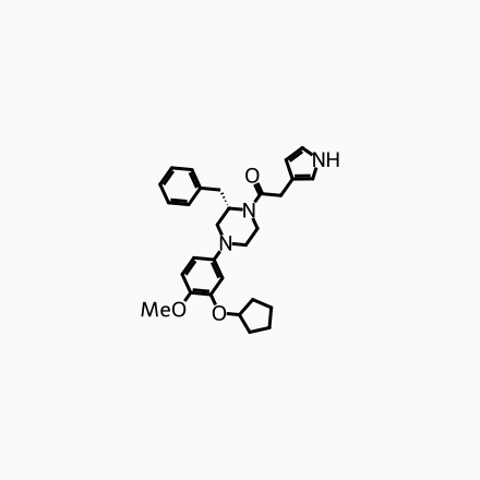 COc1ccc(N2CCN(C(=O)Cc3cc[nH]c3)[C@@H](Cc3ccccc3)C2)cc1OC1CCCC1